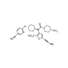 C#Cc1ccc(O[C@H]2CC[C@H](N(C(=O)C3CCC(C)CC3)c3cc(C#CC(C)(C)C)sc3C(=O)O)CC2)nc1